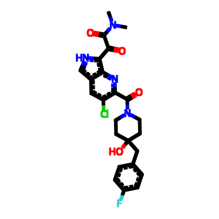 CN(C)C(=O)C(=O)c1[nH]cc2cc(Cl)c(C(=O)N3CCC(O)(Cc4ccc(F)cc4)CC3)nc12